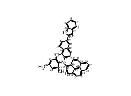 Cc1cc(C)c(N(c2ccc3cc(-c4cc5ccccc5o4)ccc3c2)c2ccc3ccc4cccc5ccc2c3c45)c(C)c1